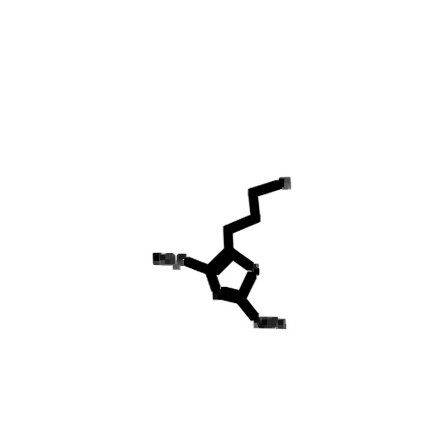 CCOC(=O)c1nc(NC(C)=O)sc1CCCCl